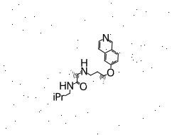 CC(C)CNC(=O)[C@H](C)NCC[C@@H](C)Oc1ccc2cnccc2c1